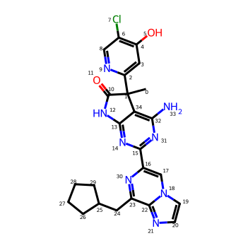 CC1(c2cc(O)c(Cl)cn2)C(=O)Nc2nc(-c3cn4ccnc4c(CC4CCCC4)n3)nc(N)c21